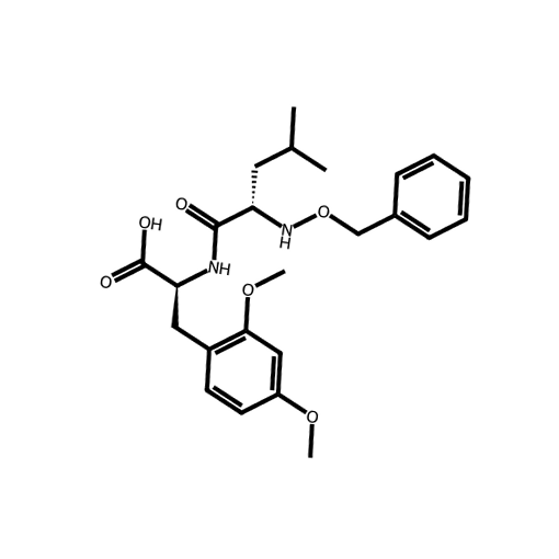 COc1ccc(C[C@H](NC(=O)[C@H](CC(C)C)NOCc2ccccc2)C(=O)O)c(OC)c1